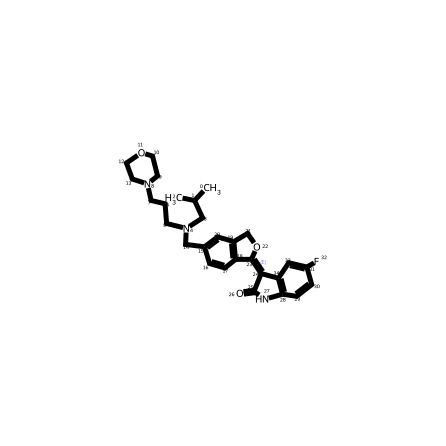 CC(C)CN(CCCN1CCOCC1)Cc1ccc2c(c1)CO/C2=C1/C(=O)Nc2ccc(F)cc21